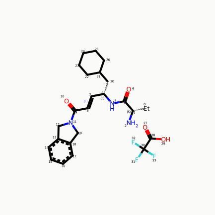 CC[C@H](N)C(=O)N[C@H](/C=C/C(=O)N1Cc2ccccc2C1)CC1CCCCC1.O=C(O)C(F)(F)F